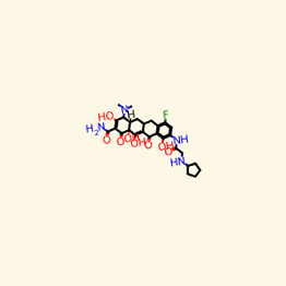 CN(C)C1C(O)=C(C(N)=O)C(=O)[C@@]2(O)C(O)=C3C(=O)c4c(O)c(NC(=O)CNC5CCCC5)cc(F)c4CC3C[C@@H]12